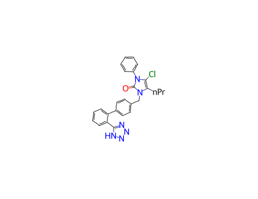 CCCc1c(Cl)n(-c2ccccc2)c(=O)n1Cc1ccc(-c2ccccc2-c2nnn[nH]2)cc1